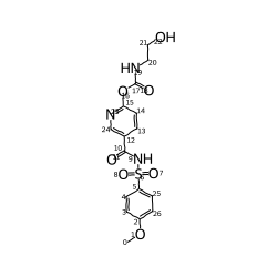 COc1ccc(S(=O)(=O)NC(=O)c2ccc(OC(=O)NCCO)nc2)cc1